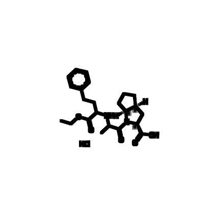 CCOC(=O)C(CCc1ccccc1)NC(C)C(=O)N1[C@H](C(=O)O)C[C@@H]2CCC[C@@H]21.Cl